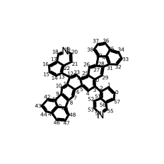 c1cc(-c2cc3c4cc5c(cc4c(-c4cccc6cnccc46)cc3c3cc4c(cc23)-c2cccc3cccc-4c23)-c2cccc3cccc-5c23)c2ccncc2c1